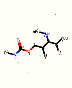 CCCCNC(C(CC)CCCC)C(CC)COC(=O)NCC